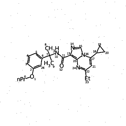 CCCOc1cccc(C(C)(C)NC(=O)c2ncn3c(C4CC4)cc(CC)nc23)c1